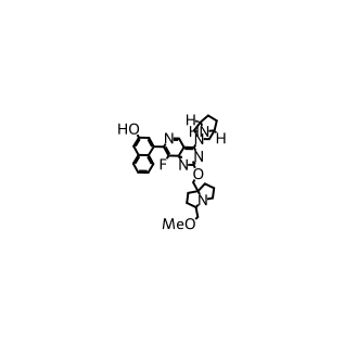 COCC1CCC2(COc3nc(N4C[C@H]5CC[C@@H](C4)N5)c4cnc(-c5cc(O)cc6ccccc56)c(F)c4n3)CCCN12